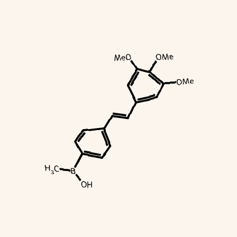 COc1cc(/C=C/c2ccc(B(C)O)cc2)cc(OC)c1OC